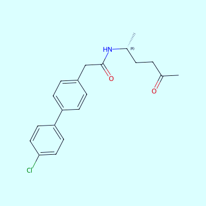 CC(=O)CC[C@@H](C)NC(=O)Cc1ccc(-c2ccc(Cl)cc2)cc1